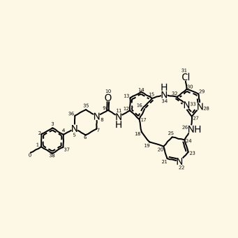 Cc1ccc(N2CCN(C(=O)Nc3ccc4cc3CCC3C=NC=C(C3)Nc3ncc(Cl)c(n3)N4)CC2)cc1